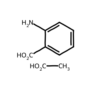 CC(=O)O.Nc1ccccc1C(=O)O